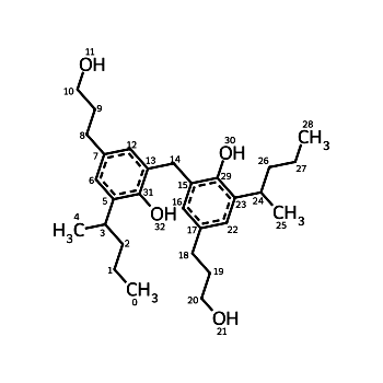 CCCC(C)c1cc(CCCO)cc(Cc2cc(CCCO)cc(C(C)CCC)c2O)c1O